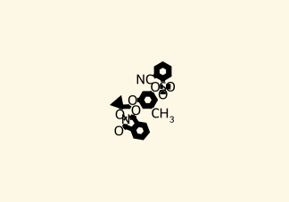 Cc1cc(OCC2(ON3C(=O)c4ccccc4C3=O)CC2)cc(OS(=O)(=O)c2ccccc2C#N)c1